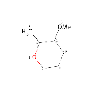 COC1CC[CH]OC1C